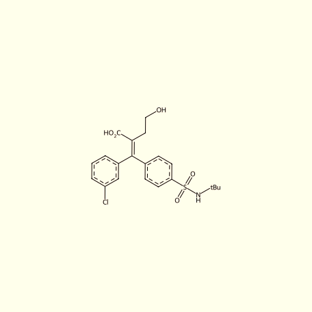 CC(C)(C)NS(=O)(=O)c1ccc(C(=C(CCO)C(=O)O)c2cccc(Cl)c2)cc1